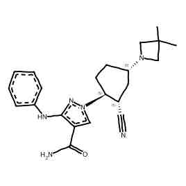 CC1(C)CN([C@H]2CC[C@H](n3cc(C(N)=O)c(Nc4ccccc4)n3)[C@@H](C#N)C2)C1